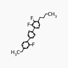 CCCCc1ccc(-c2ccc(-c3ccc(CC)cc3F)cc2)c(F)c1F